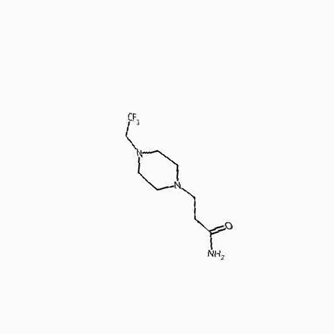 NC(=O)CCN1CCN(CC(F)(F)F)CC1